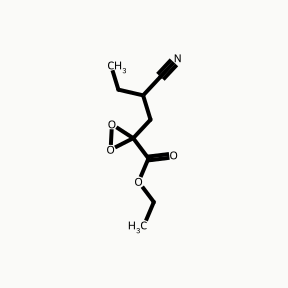 CCOC(=O)C1(CC(C#N)CC)OO1